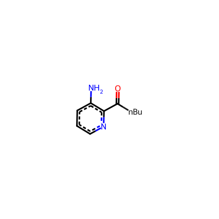 CCCCC(=O)c1ncccc1N